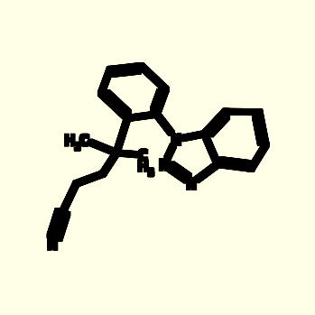 CC(C)(CCC#N)c1ccccc1-n1nnc2ccccc21